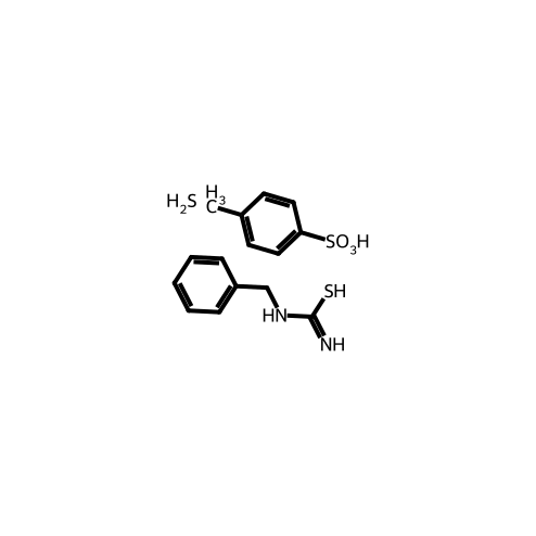 Cc1ccc(S(=O)(=O)O)cc1.N=C(S)NCc1ccccc1.S